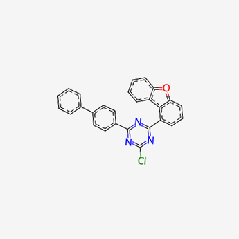 Clc1nc(-c2ccc(-c3ccccc3)cc2)nc(-c2cccc3oc4ccccc4c23)n1